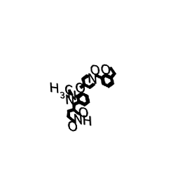 Cn1nc(C2CCC(=O)NC2=O)c2cccc(OC3CCN(C(=O)c4cccc5c4OCC5)CC3)c21